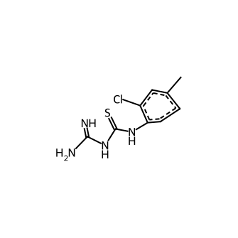 Cc1ccc(NC(=S)NC(=N)N)c(Cl)c1